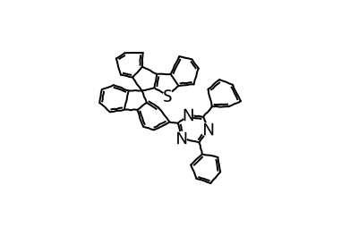 c1ccc(-c2nc(-c3ccccc3)nc(-c3ccc4c(c3)C3(c5ccccc5-4)c4ccccc4-c4c3sc3ccccc43)n2)cc1